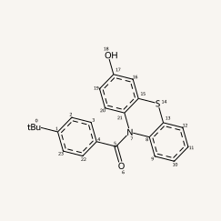 CC(C)(C)c1ccc(C(=O)N2c3ccccc3Sc3cc(O)ccc32)cc1